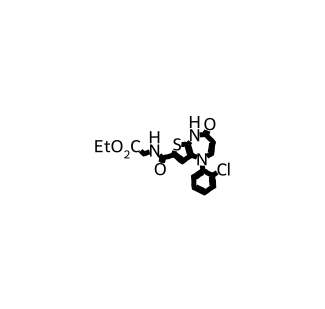 CCOC(=O)CNC(=O)c1cc2c(s1)NC(=O)C=CN2c1ccccc1Cl